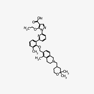 CCOc1c(C(=O)O)cnn1-c1cccc(-c2cccc(C)c2OCc2ccc3c(c2C)CCN(CC2CCOC(C)(C)C2)C3)n1